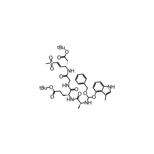 Cc1c[nH]c2cccc(OC(N[C@@H](C)C(=O)N[C@@H](CCC(=O)OC(C)(C)C)C(=O)NCC(=O)N[C@H](/C=C/S(C)(=O)=O)CC(=O)OC(C)(C)C)OCc3ccccc3)c12